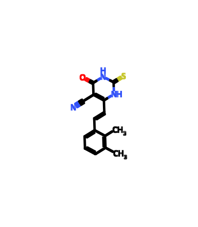 Cc1cccc(C=Cc2[nH]c(=S)[nH]c(=O)c2C#N)c1C